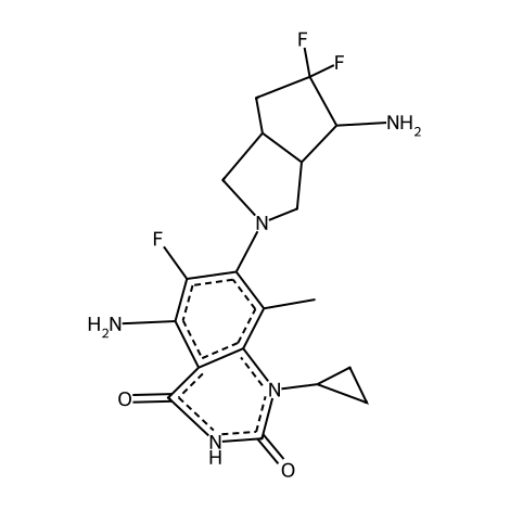 Cc1c(N2CC3CC(F)(F)C(N)C3C2)c(F)c(N)c2c(=O)[nH]c(=O)n(C3CC3)c12